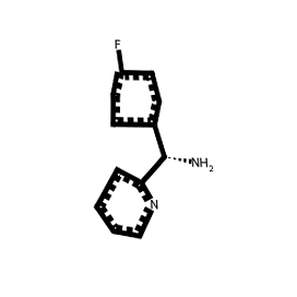 N[C@@H](c1ccc(F)cc1)c1ccccn1